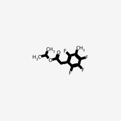 Cc1c(F)c(F)c(F)c(CC(=O)OC(C)C)c1F